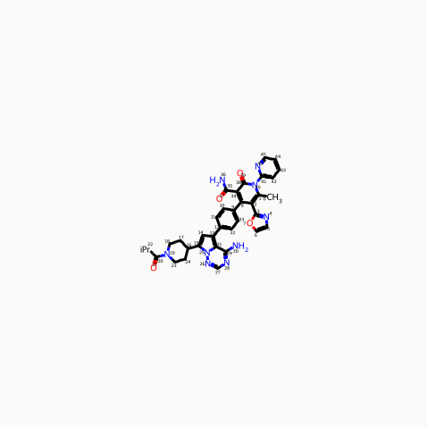 Cc1c(-c2ncco2)c(-c2ccc(-c3cc(C4CCN(C(=O)C(C)C)CC4)n4ncnc(N)c34)cc2)c(C(N)=O)c(=O)n1-c1ccccn1